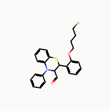 O=CC1C(c2ccccc2OCCCCCl)Sc2ccccc2N1c1ccccc1